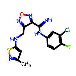 Cc1cc(NCc2nonc2C(=N)Nc2ccc(F)c(Cl)c2)sn1